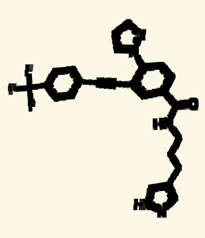 O=C(NCCCc1cn[nH]c1)c1ccc(-n2cccn2)c(C#Cc2ccc(C(F)(F)F)cc2)c1